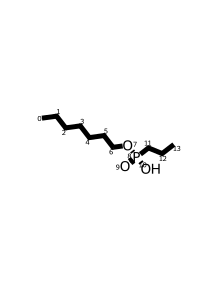 CCCCCCCOP(=O)(O)CCC